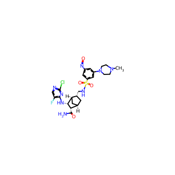 CN1CCN(c2cc(N=O)cc(S(=O)(=O)NC[C@@H]3C[C@@H]4C[C@H]3[C@@H](Nc3nc(Cl)ncc3F)[C@H]4C(N)=O)c2)CC1